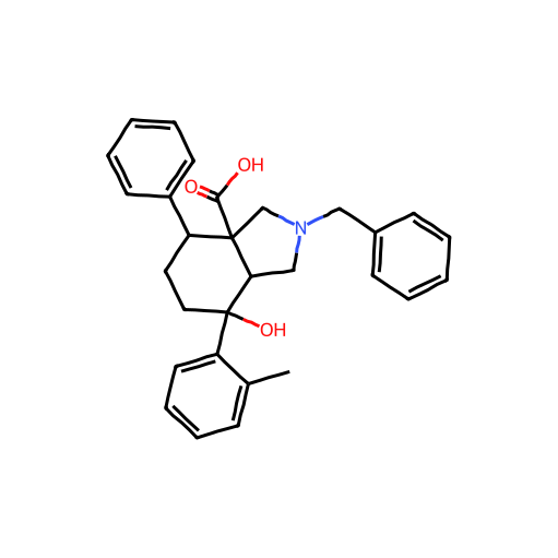 Cc1ccccc1C1(O)CCC(c2ccccc2)C2(C(=O)O)CN(Cc3ccccc3)CC12